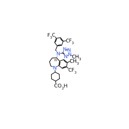 Cc1cc2c(cc1C(F)(F)F)N(C1CCC(C(=O)O)CC1)CCC[C@@H]2N(Cc1cc(C(F)(F)F)cc(C(F)(F)F)c1)c1nnn(C)n1